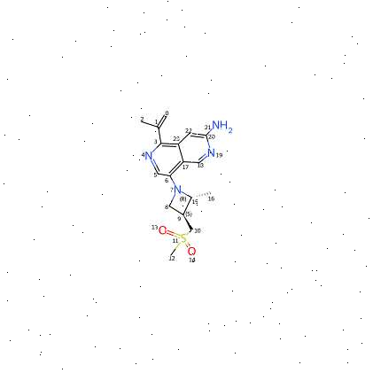 C=C(C)c1ncc(N2C[C@H](CS(C)(=O)=O)[C@H]2C)c2cnc(N)cc12